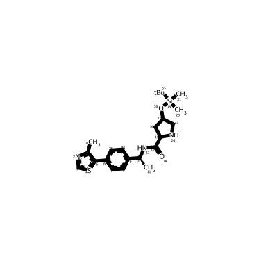 Cc1ncsc1-c1ccc([C@H](C)NC(=O)C2CC(O[Si](C)(C)C(C)(C)C)CN2)cc1